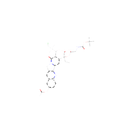 CCC1(OC(=O)CNC(=O)OC(C)(C)C)C(=O)OC([Si](C)(C)CCl)c2c1cc1n(c2=O)Cc2cc3cc(OC(C)=O)ccc3nc2-1